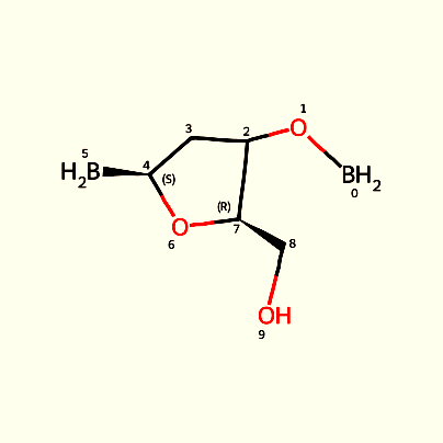 BOC1C[C@H](B)O[C@@H]1CO